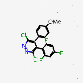 COc1ccc(-c2c(Cl)nnc(Cl)c2-c2c(F)cc(F)cc2F)cc1